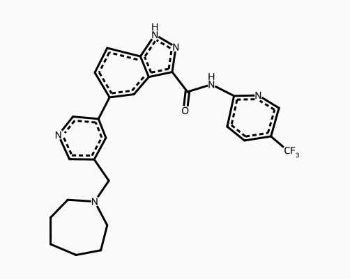 O=C(Nc1ccc(C(F)(F)F)cn1)c1n[nH]c2ccc(-c3cncc(CN4CCCCCC4)c3)cc12